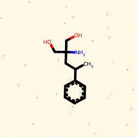 CC(CC(N)(CO)CO)c1ccccc1